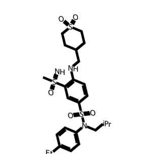 CCc1ccc(N(CC(C)C)S(=O)(=O)c2ccc(NCC3CCS(=O)(=O)CC3)c(S(C)(=N)=O)c2)cc1